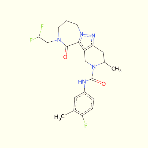 Cc1cc(NC(=O)N2Cc3c(nn4c3C(=O)N(CC(F)F)CCC4)CC2C)ccc1F